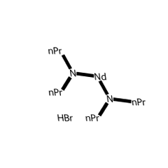 Br.CCC[N](CCC)[Nd][N](CCC)CCC